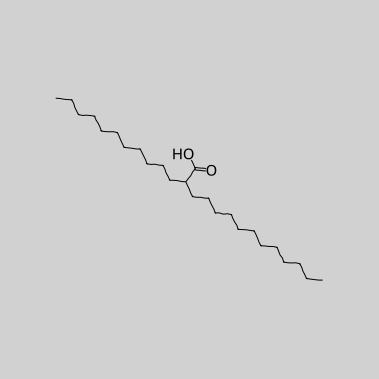 CCCCCCCCCCCCC(CCCCCCCCCCC)C(=O)O